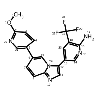 COc1ccc(-c2ccc3ncc(-c4cnc(N)c(C(F)(F)F)c4)n3c2)cn1